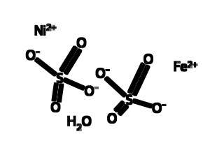 O.O=S(=O)([O-])[O-].O=S(=O)([O-])[O-].[Fe+2].[Ni+2]